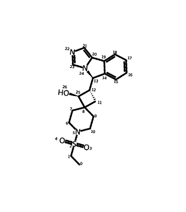 CCS(=O)(=O)N1CCC2(CC1)C[C@@H]([C@@H]1c3ccccc3-c3cncn31)[C@@H]2O